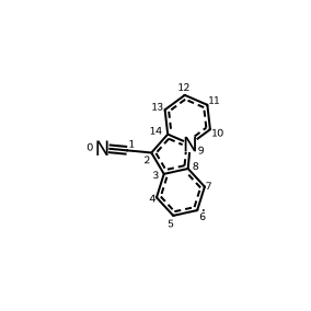 N#Cc1c2cc[c]cc2n2ccccc12